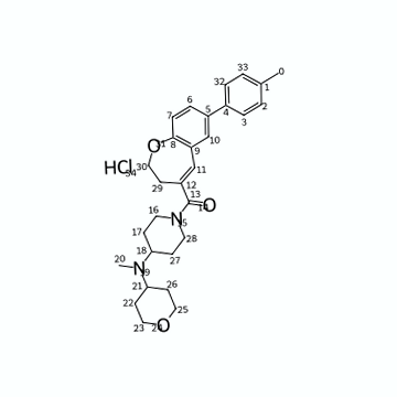 Cc1ccc(-c2ccc3c(c2)C=C(C(=O)N2CCC(N(C)C4CCOCC4)CC2)CCO3)cc1.Cl